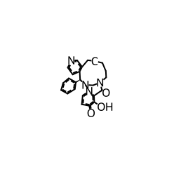 O=C1c2c(O)c(=O)ccn2N2CN1CCCCCc1cnccc1[C@@H]2c1ccccc1